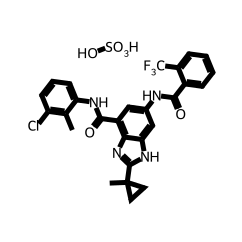 Cc1c(Cl)cccc1NC(=O)c1cc(NC(=O)c2ccccc2C(F)(F)F)cc2[nH]c(C3(C)CC3)nc12.O=S(=O)(O)O